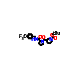 CC(C)(C)OC(=O)N1CCCC(C(=O)N2CCCC2C(=O)NCc2ccc(C(F)(F)F)cc2)C1